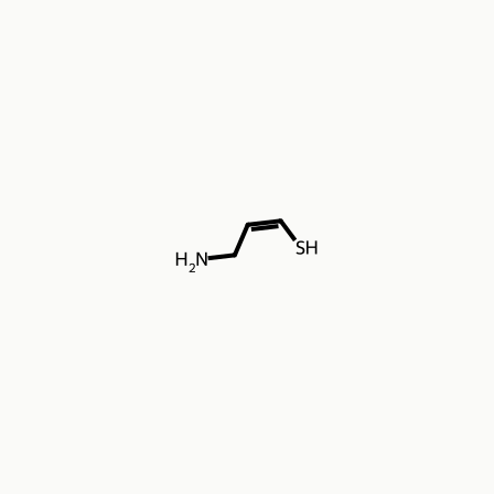 NC/C=C\S